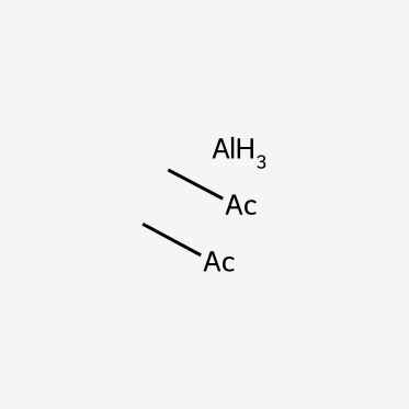 CC(C)=O.CC(C)=O.[AlH3]